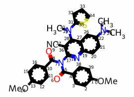 COc1ccc(C(=O)N(C(=O)c2ccc(OC)cc2)c2nc3ccc(N(C)C)cc3c(N(C)c3cccs3)c2C#N)cc1